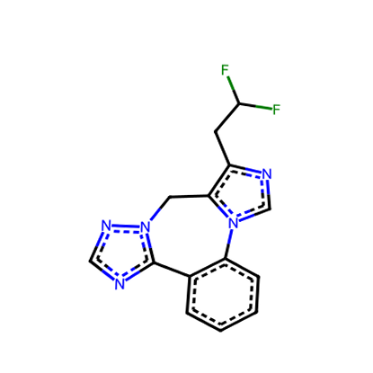 FC(F)Cc1ncn2c1Cn1ncnc1-c1ccccc1-2